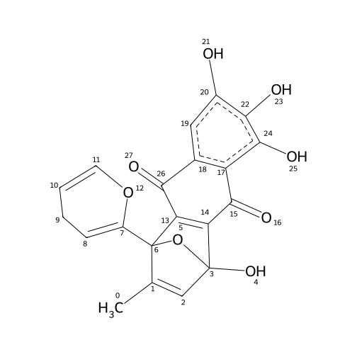 CC1=CC2(O)OC1(C1=CCC=CO1)C1=C2C(=O)c2c(cc(O)c(O)c2O)C1=O